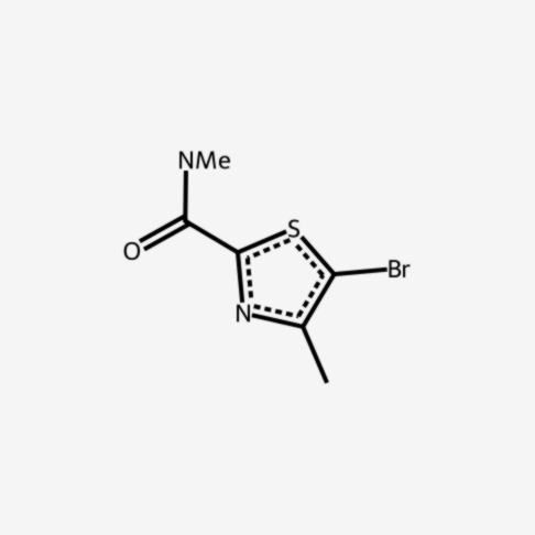 CNC(=O)c1nc(C)c(Br)s1